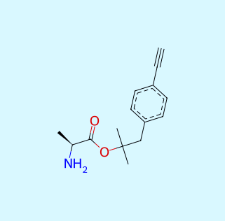 C#Cc1ccc(CC(C)(C)OC(=O)[C@H](C)N)cc1